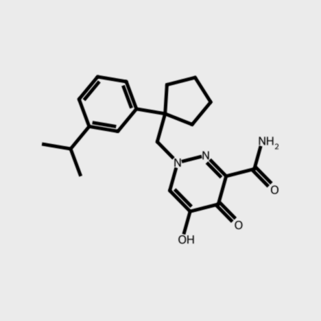 CC(C)c1cccc(C2(Cn3cc(O)c(=O)c(C(N)=O)n3)CCCC2)c1